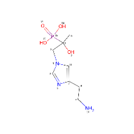 CC(O)(Cn1cnc(CCN)c1)P(=O)(O)O